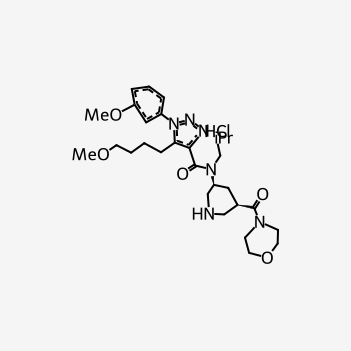 COCCCCc1c(C(=O)N(CC(C)C)[C@@H]2CNC[C@H](C(=O)N3CCOCC3)C2)nnn1-c1cccc(OC)c1.Cl